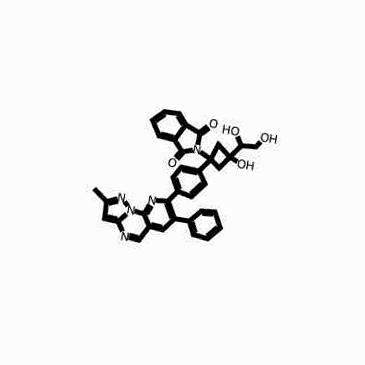 Cc1cc2ncc3cc(-c4ccccc4)c(-c4ccc(C5(N6C(=O)c7ccccc7C6=O)CC(O)(C(O)CO)C5)cc4)nc3n2n1